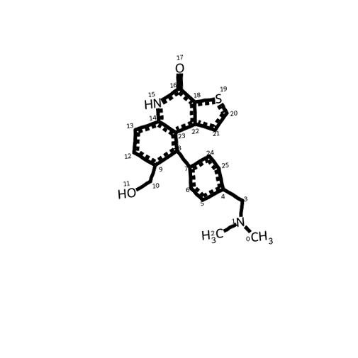 CN(C)Cc1ccc(-c2c(CO)ccc3[nH]c(=O)c4sccc4c23)cc1